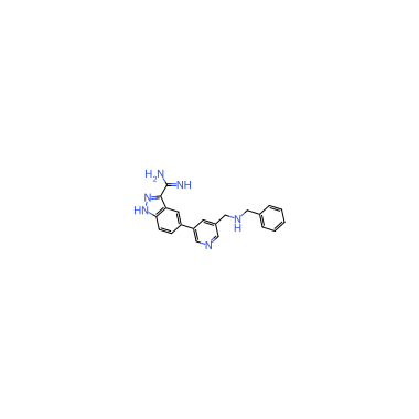 N=C(N)c1n[nH]c2ccc(-c3cncc(CNCc4ccccc4)c3)cc12